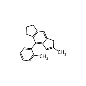 CC1=Cc2c(cc3c(c2-c2ccccc2C)CCC3)C1